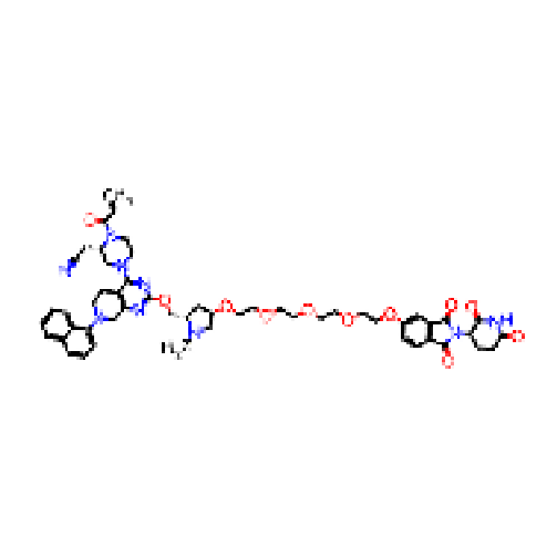 C=CC(=O)N1CCN(c2nc(OC[C@@H]3C[C@@H](OCCOCCOCCOCCOc4ccc5c(c4)C(=O)N(C4CCC(=O)NC4=O)C5=O)CN3C)nc3c2CCN(c2cccc4ccccc24)C3)C[C@@H]1CC#N